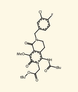 COc1c2c(c(NC(=O)C(C)(C)C)n(CC(=O)OC(C)(C)C)c1=O)CCN(Cc1ccc(F)c(Cl)c1)C2=O